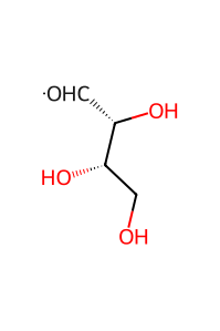 O=[C][C@H](O)[C@@H](O)CO